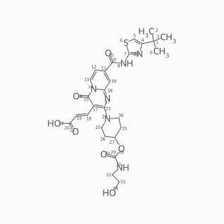 CC(C)(C)c1csc(NC(=O)c2ccn3c(=O)c(C=CC(=O)O)c(N4CCC(OC(=O)NCCO)CC4)nc3c2)n1